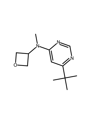 CN(c1cc(C(C)(C)C)ncn1)C1COC1